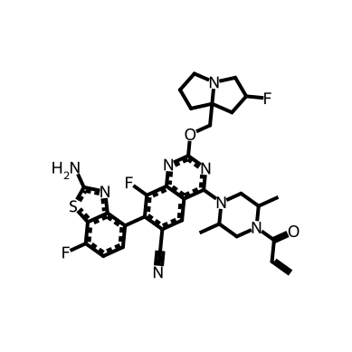 C=CC(=O)N1CC(C)N(c2nc(OCC34CCCN3CC(F)C4)nc3c(F)c(-c4ccc(F)c5sc(N)nc45)c(C#N)cc23)CC1C